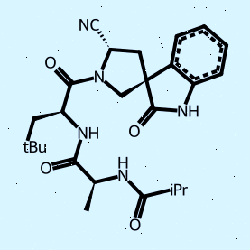 CC(C)C(=O)N[C@@H](C)C(=O)N[C@@H](CC(C)(C)C)C(=O)N1C[C@]2(C[C@H]1C#N)C(=O)Nc1ccccc12